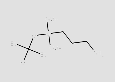 CCC(O)(CC)O[Si](CCCN)(OC)OC